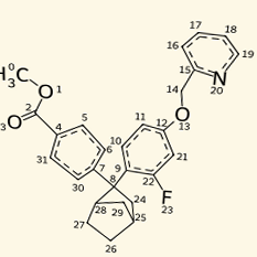 COC(=O)c1ccc(C2(c3ccc(OCc4ccccn4)cc3F)CC3CCC2C3)cc1